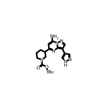 CC(C)(C)OC(=O)N1CCCC(c2cc(N)n3ncc(-c4cn[nH]c4)c3n2)C1